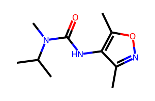 Cc1noc(C)c1NC(=O)N(C)C(C)C